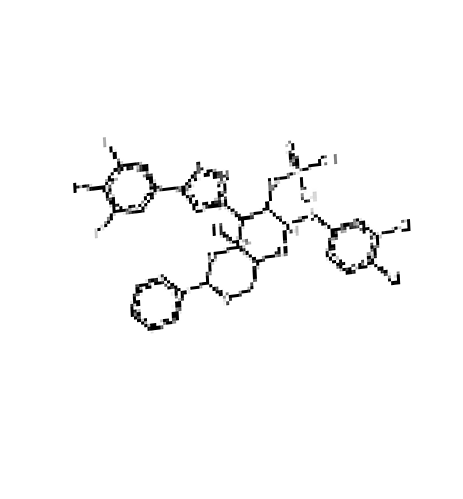 O=P(O)(O)OC1C(n2cc(-c3cc(F)c(F)c(F)c3)nn2)[C@H]2OC(c3ccccc3)OCC2O[C@@H]1Sc1ccc(Cl)c(Cl)c1